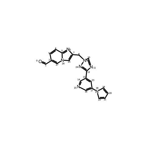 O=Cc1ccc2nc(Cn3cnc(-c4cncc(-n5cccc5)c4)n3)cn2c1